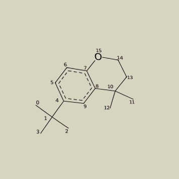 CC(C)(C)c1ccc2c(c1)C(C)(C)CCO2